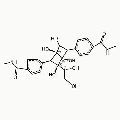 CNC(=O)c1ccc(C2C(O)[C@@]3(O)C(c4ccc(C(=O)NC)cc4)[C@@](O)([C@H](O)CO)[C@@]23O)cc1